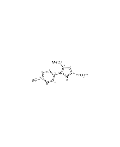 CCOC(=O)c1cc(OC)n(-c2ccc(C(C)C)cc2)n1